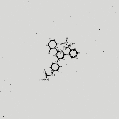 CCNC(=O)Nc1ccc(-c2cc(-c3ccccc3S(=O)(=O)N(C)C)nc(N3CCOCC3C)n2)cc1